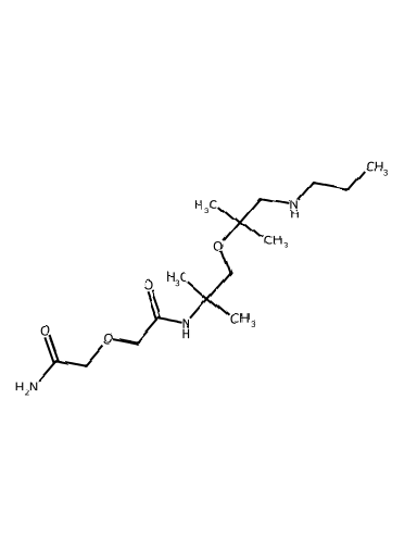 CCCNCC(C)(C)OCC(C)(C)NC(=O)COCC(N)=O